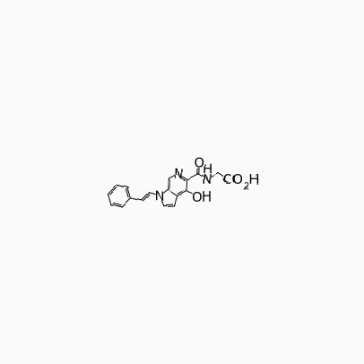 O=C(O)CNC(=O)c1ncc2c(ccn2C=Cc2ccccc2)c1O